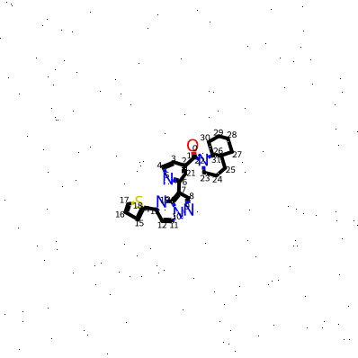 O=C(c1ccnc(-c2cnn3ccc(-c4cccs4)nc23)c1)N1CCCC2CCCCC21